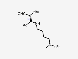 CCCN(C)CCCCN/C(C(C)=O)=C(/C=O)C(C)(C)C